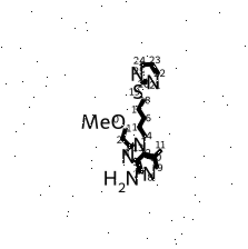 COCCc1nc2c(N)ncc(C)c2n1CCCCCSc1ncccn1